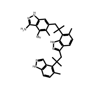 Cc1ccc2[nH]ncc2c1C(C)(C)Cc1n[nH]c2c(C(C)(C)Cc3cc4[nH]nc(N)c4c(C(C)(C)C)c3C)c(C)ccc12